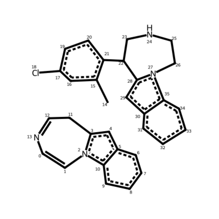 C1=Cn2c(cc3ccccc32)CC=N1.Cc1cc(Cl)ccc1C1CNCCn2c1cc1ccccc12